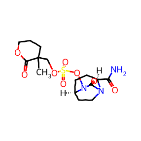 CC1(COS(=O)(=O)ON2C(=O)N3CC[C@H]2CC[C@H]3C(N)=O)CCCOC1=O